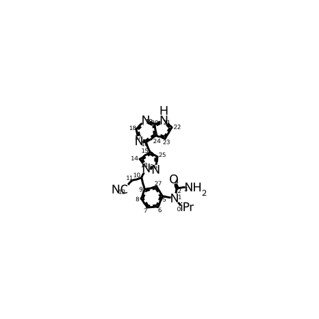 CC(C)N(C(N)=O)c1cccc(C(CC#N)n2cc(-c3ncnc4[nH]ccc34)cn2)c1